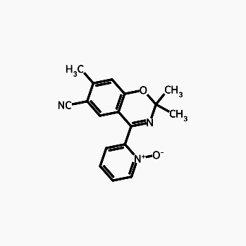 Cc1cc2c(cc1C#N)C(c1cccc[n+]1[O-])=NC(C)(C)O2